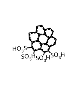 O=S(=O)(O)c1c(S(=O)(=O)O)c2c(S(=O)(=O)O)c(S(=O)(=O)O)c3ccc4ccc5ccc6ccc1c1c6c5c4c3c21